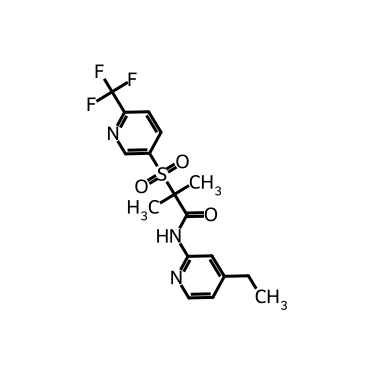 CCc1ccnc(NC(=O)C(C)(C)S(=O)(=O)c2ccc(C(F)(F)F)nc2)c1